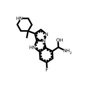 CC1(c2cnn3c2[nH]c2cc(F)cc(C(N)O)c23)CCNCC1